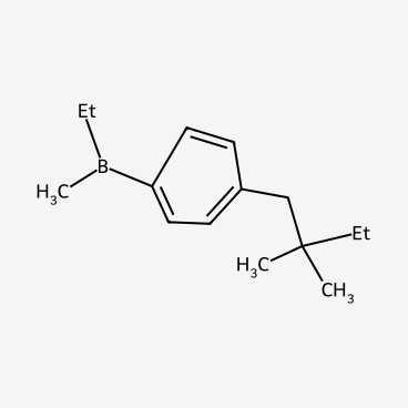 CCB(C)c1ccc(CC(C)(C)CC)cc1